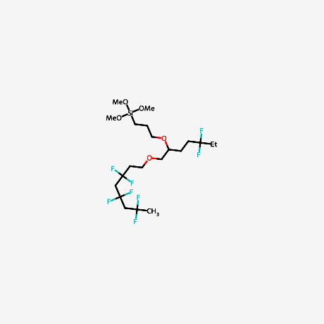 CCC(F)(F)CCC(COCCC(F)(F)CC(F)(F)CC(C)(F)F)OCCC[Si](OC)(OC)OC